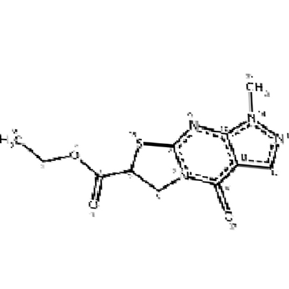 CCOC(=O)C1Cn2c(nc3c(cnn3C)c2=O)S1